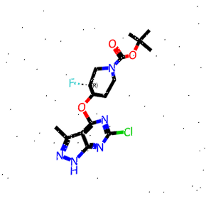 Cc1n[nH]c2nc(Cl)nc(OC3CCN(C(=O)OC(C)(C)C)C[C@H]3F)c12